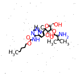 CCCCCOC(=O)Nc1ncnn2c([C@]3(C)O[C@H](CO)[C@@H](OC(=O)[C@@H](N)C(C)C)[C@H]3O)ccc12